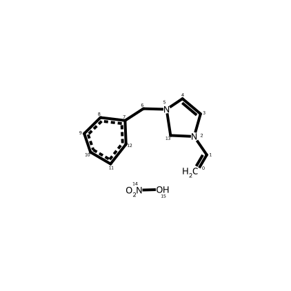 C=CN1C=CN(Cc2ccccc2)C1.O=[N+]([O-])O